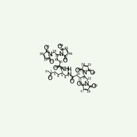 CC(=O)CCC(CNC(=O)CCC(CN1C(=O)C=CC1=O)N1C(=O)C=CC1=O)NC(=O)CCC(CN1C(=O)C=CC1=O)N1C(=O)C=CC1=O